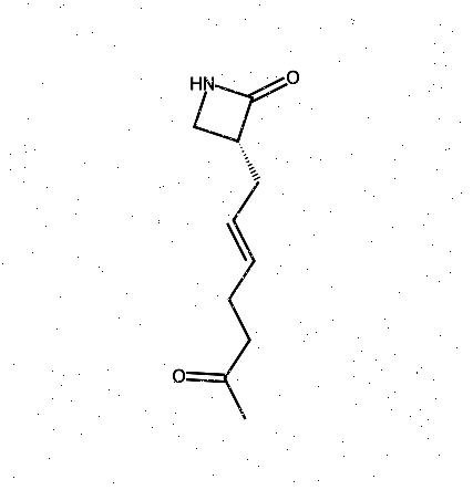 CC(=O)CC/C=C/C[C@@H]1CNC1=O